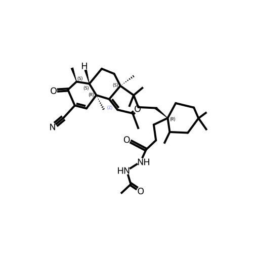 CC(=O)/C=C1/[C@@]2(C)C=C(C#N)C(=O)[C@@H](C)[C@@H]2CC[C@@]1(C)C(C)(C)CC[C@@]1(CCC(=O)NNC(C)=O)CCC(C)(C)CC1C